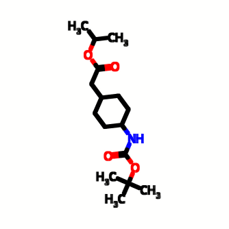 CC(C)OC(=O)CC1CCC(NC(=O)OC(C)(C)C)CC1